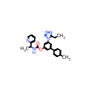 CCc1nnnn1-c1cc(OC(=O)NC(C)c2ccccn2)cc(-c2ccc(C)cc2)c1